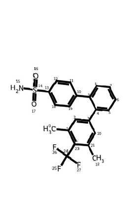 Cc1cc(-c2ccccc2-c2ccc(S(N)(=O)=O)cc2)cc(C)c1C(F)(F)F